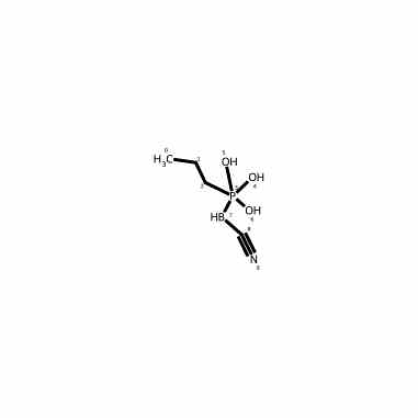 CCCP(O)(O)(O)BC#N